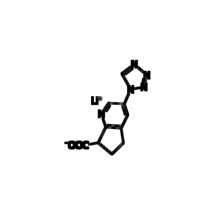 O=C([O-])C1CCc2cc(-n3cnnn3)cnc21.[Li+]